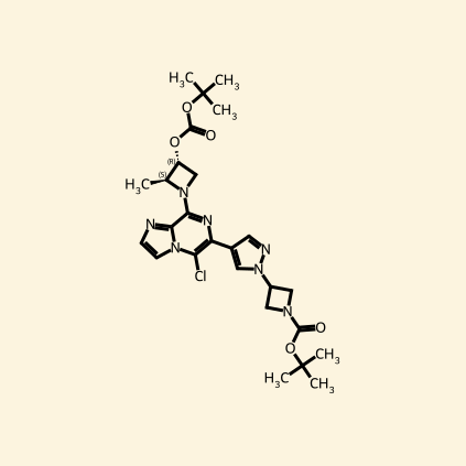 C[C@H]1[C@H](OC(=O)OC(C)(C)C)CN1c1nc(-c2cnn(C3CN(C(=O)OC(C)(C)C)C3)c2)c(Cl)n2ccnc12